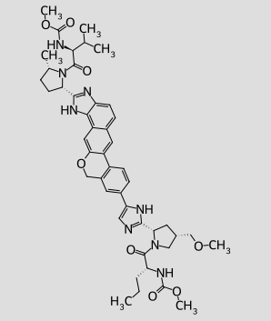 CCC[C@@H](NC(=O)OC)C(=O)N1C[C@@H](COC)C[C@H]1c1ncc(-c2ccc3c(c2)COc2cc4c(ccc5nc([C@@H]6CC[C@H](C)N6C(=O)[C@@H](NC(=O)OC)C(C)C)[nH]c54)cc2-3)[nH]1